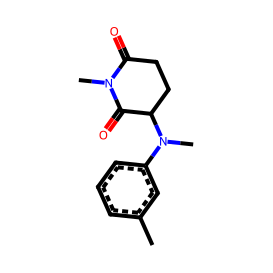 Cc1cccc(N(C)C2CCC(=O)N(C)C2=O)c1